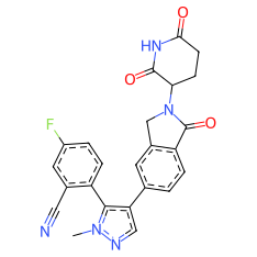 Cn1ncc(-c2ccc3c(c2)CN(C2CCC(=O)NC2=O)C3=O)c1-c1ccc(F)cc1C#N